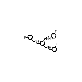 Fc1cccc(CNCc2cc(CNCc3cccc(F)c3)cc(CNCc3cccc(F)c3)c2)c1